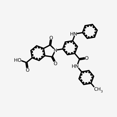 Cc1ccc(NC(=O)c2cc(Nc3ccccc3)cc(N3C(=O)c4ccc(C(=O)O)cc4C3=O)c2)cc1